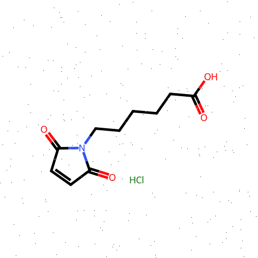 Cl.O=C(O)CCCCCN1C(=O)C=CC1=O